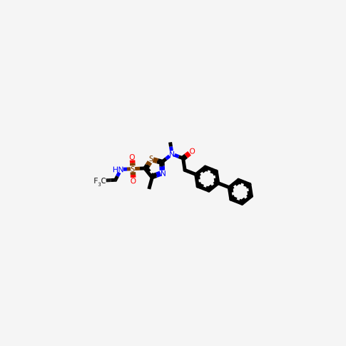 Cc1nc(N(C)C(=O)Cc2ccc(-c3ccccc3)cc2)sc1S(=O)(=O)NCC(F)(F)F